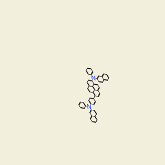 c1ccc(N(c2ccc(-c3ccc4ccc5c(N(c6ccccc6)c6ccc7ccccc7c6)ccc6ccc3c4c65)cc2)c2ccc3ccccc3c2)cc1